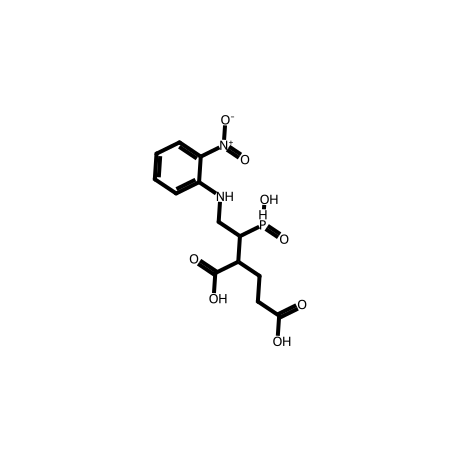 O=C(O)CCC(C(=O)O)C(CNc1ccccc1[N+](=O)[O-])[PH](=O)O